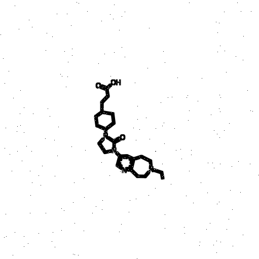 CCN1CCc2cc(N3CCN(C4CCC(CCC(=O)O)CC4)C3=O)cnc2CC1